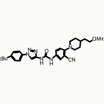 COCCC1CCN(c2ccc(NC(=O)Nc3cn(-c4ccc(C(C)(C)C)cc4)nn3)cc2C#N)CC1